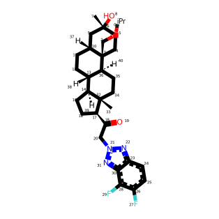 CC(C)OC[C@]12CC[C@@](C)(O)C[C@H]1CC[C@H]1[C@@H]3CC[C@H](C(=O)Cn4nc5ccc(F)c(F)c5n4)[C@@]3(C)CC[C@@H]12